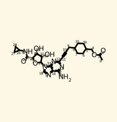 CC(=O)OCC1CCC(CC#Cc2nc(N)c3ncn(C4O[C@H](C(=O)NC5CC5)[C@H](O)[C@@H]4O)c3n2)CC1